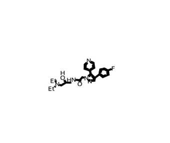 CCN(CC)CC(O)CNC(=O)Cn1ncc(-c2ccc(F)cc2)c1-c1ccncc1